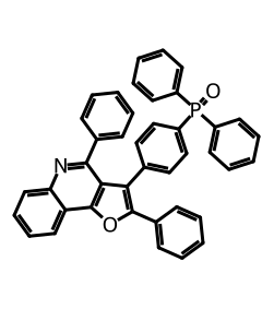 O=P(c1ccccc1)(c1ccccc1)c1ccc(-c2c(-c3ccccc3)oc3c2c(-c2ccccc2)nc2ccccc23)cc1